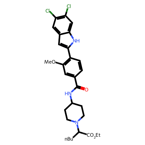 CCCCC(C(=O)OCC)N1CCC(NC(=O)c2ccc(-c3cc4cc(Cl)c(Cl)cc4[nH]3)c(OC)c2)CC1